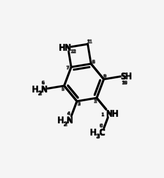 CNc1c(N)c(N)c2c(c1S)CN2